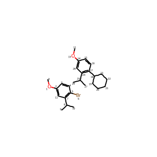 COc1ccc(Br)c(C(C)C)c1.COc1ccc(C2CCCCC2)c(C(C)C)c1